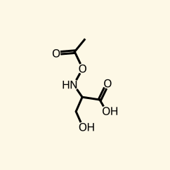 CC(=O)ONC(CO)C(=O)O